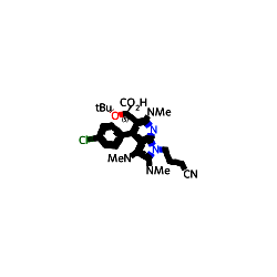 CNc1nc2c(c(NC)c(NC)n2CCCC#N)c(-c2ccc(Cl)cc2)c1[C@H](OC(C)(C)C)C(=O)O